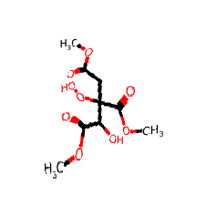 COC(=O)CC(OO)(C(=O)OC)C(O)C(=O)OC